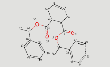 CC(OC(=O)C1CC=CCC1C(=O)OC(C)c1ccccc1)c1ccccc1